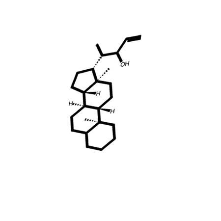 C=CC(O)C(C)[C@H]1CC[C@H]2[C@@H]3CCC4CCCC[C@]4(C)[C@H]3CC[C@]12C